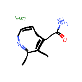 Cc1nccc(C(N)=O)c1C.Cl